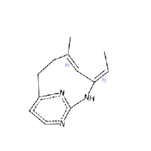 C/C=C1\C=C(/C)CCc2ccnc(n2)N1